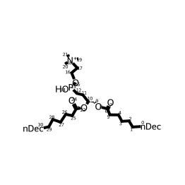 CCCCCCCCCCCCCCCC(=O)OC[C@@H](CCP(O)OCC[N+](C)(C)C)OC(=O)CCCCCCCCCCCCCCC